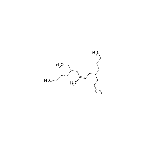 CCCCC(CC=C(C)CC(CC)CCCC)CCC